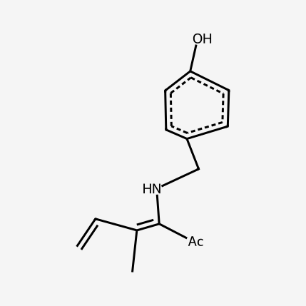 C=C/C(C)=C(\NCc1ccc(O)cc1)C(C)=O